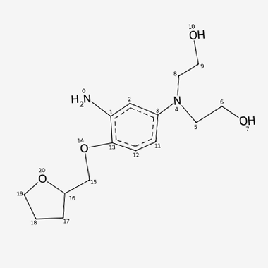 Nc1cc(N(CCO)CCO)ccc1OCC1CCCO1